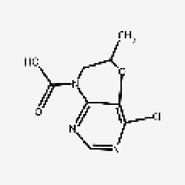 CC1CN(C(=O)O)c2ncnc(Cl)c2O1